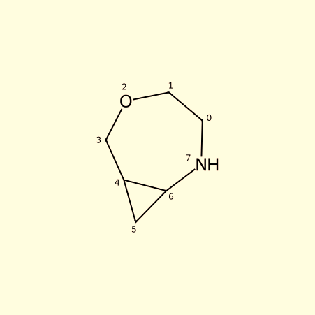 C1COCC2CC2N1